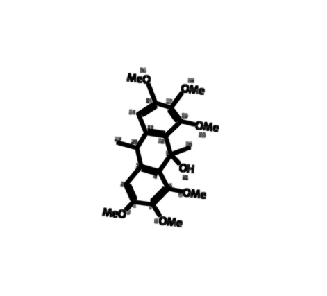 COc1cc2c(c(OC)c1OC)C(C)(O)c1c(cc(OC)c(OC)c1OC)C2C